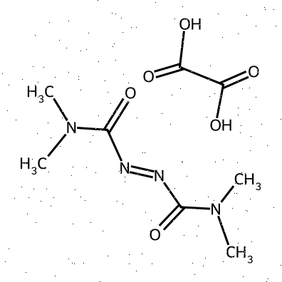 CN(C)C(=O)N=NC(=O)N(C)C.O=C(O)C(=O)O